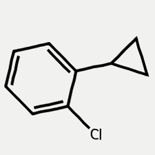 Clc1ccccc1C1CC1